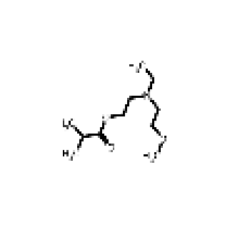 CCN(CCOC)CCOC(=O)C(C)C